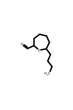 CCCCC1CCCCC(C=O)O1